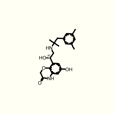 Cc1cc(C)cc(CC(C)(C)NC[C@H](O)c2cc(O)cc3c2OCC(=O)N3)c1